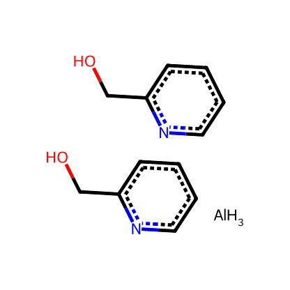 OCc1ccccn1.OCc1ccccn1.[AlH3]